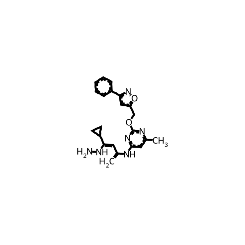 C=C(/C=C(\NN)C1CC1)Nc1cc(C)nc(OCc2cc(-c3ccccc3)no2)n1